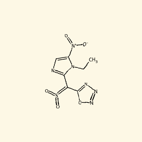 CCn1c([N+](=O)[O-])cnc1C(c1nnno1)=S(=O)=O